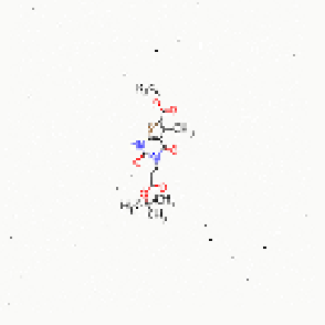 CCOC(=O)c1sc2[nH]c(=O)n(CCC(=O)OC(C)(C)C)c(=O)c2c1C